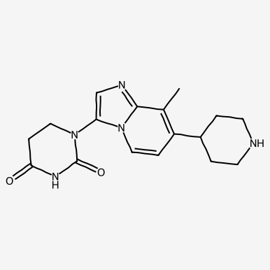 Cc1c(C2CCNCC2)ccn2c(N3CCC(=O)NC3=O)cnc12